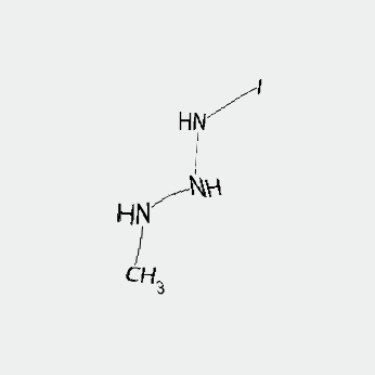 CNNNI